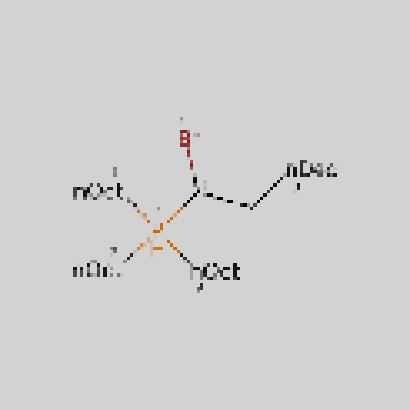 CCCCCCCCCCCC(Br)[PH](CCCCCCCC)(CCCCCCCC)CCCCCCCC